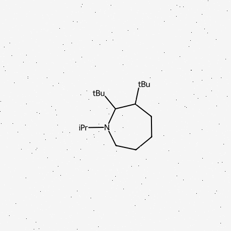 CC(C)N1CCCCC(C(C)(C)C)C1C(C)(C)C